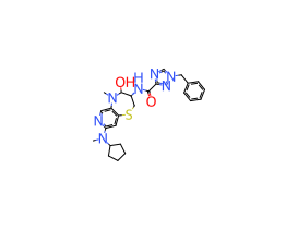 CN(c1cc2c(cn1)N(C)C(O)[C@@H](NC(=O)c1ncn(Cc3ccccc3)n1)CS2)C1CCCC1